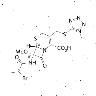 CO[C@@]1(NC(=O)C(C)Br)C(=O)N2C(C(=O)O)=C(CSc3nnnn3C)CS[C@H]21